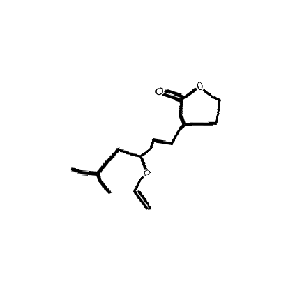 C=COC(CCC1CCOC1=O)CC(C)C